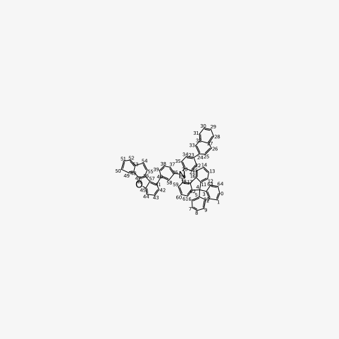 c1ccc(C2(c3ccccc3)c3ccccc3-c3c(N(c4ccc(-c5ccc6ccccc6c5)cc4)c4cccc(-c5cccc6oc7c8ccccc8ccc7c56)c4)cccc32)cc1